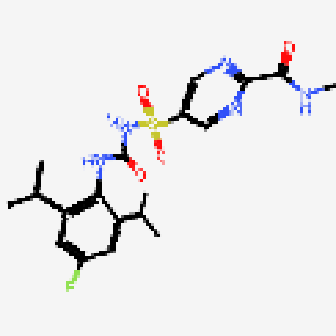 CNC(=O)c1ncc(S(=O)(=O)NC(=O)Nc2c(C(C)C)cc(F)cc2C(C)C)cn1